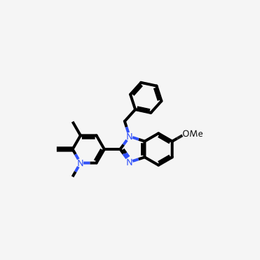 C=C1C(C)=CC(c2nc3ccc(OC)cc3n2Cc2ccccc2)=CN1C